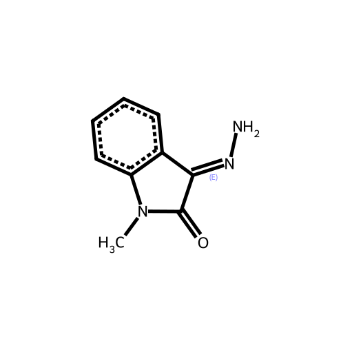 CN1C(=O)/C(=N/N)c2ccccc21